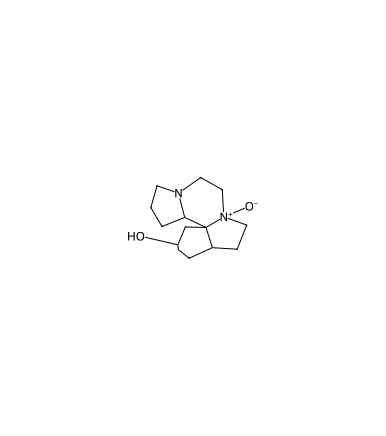 [O-][N+]12CCC3CCC(O)CC31C1CCCN1CC2